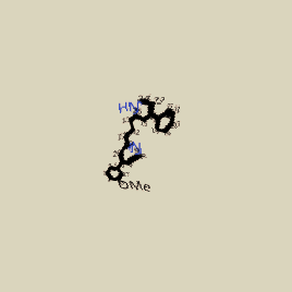 COc1cccc(-c2ccnc(CCCC3CC(c4ccccc4)=CCN3)c2)c1